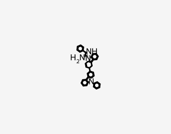 N=C(c1ccccc1)[C@H](N)n1c2c(c3ccccc31)CC(c1ccc3c(c1)c1ccccc1n3-c1ccccc1)C=C2